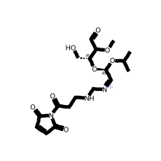 COC(C=O)[C@@H](CO)O[C@H](/C=N\CNCCC(=O)N1C(=O)C=CC1=O)OC(C)C